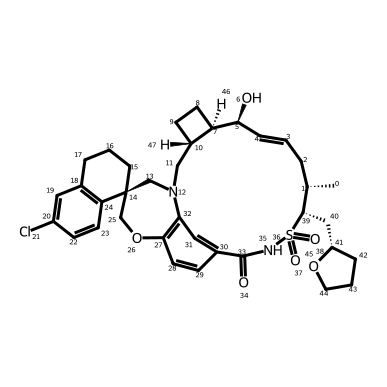 C[C@H]1C/C=C/[C@H](O)[C@@H]2CC[C@H]2CN2C[C@@]3(CCCc4cc(Cl)ccc43)COc3ccc(cc32)C(=O)NS(=O)(=O)[C@H]1C[C@@H]1CCCO1